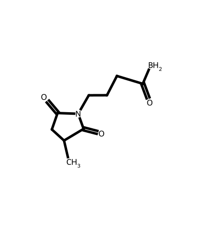 BC(=O)CCCN1C(=O)CC(C)C1=O